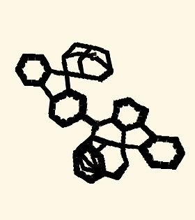 c1ccc(N(c2ccc3c(c2)C2(c4ccccc4-3)C3CCC4CC(C3)CC2C4)c2cccc3c2C2(c4ccccc4-3)C3CCC4CC(C3)CC2C4)cc1